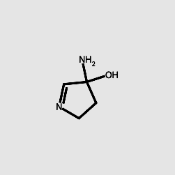 NC1(O)C=NCC1